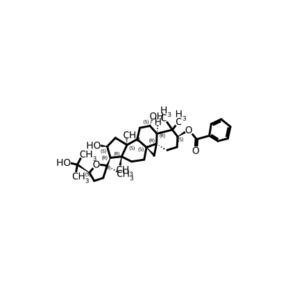 CC(C)(O)[C@@H]1CC[C@](C)([C@H]2[C@@H](O)C[C@@]3(C)C4C[C@H](O)[C@H]5C(C)(C)[C@@H](OC(=O)c6ccccc6)CC[C@@]56C[C@@]46CC[C@]23C)O1